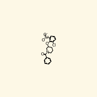 O=C(c1ccccc1)N1CCCC(Oc2c(Cl)cccc2[N+](=O)[O-])C1